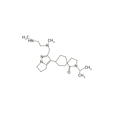 CNCCN(C)Cc1nn2c(c1C1CCC3(CC1)CCN(C(C)C)C3=O)CCC2